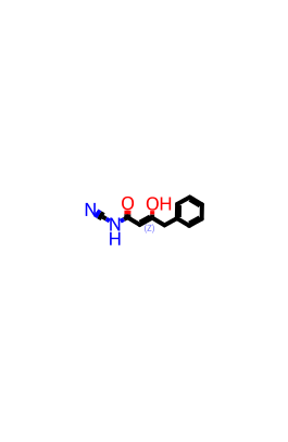 N#CNC(=O)/C=C(\O)Cc1ccccc1